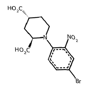 O=C(O)[C@@H]1CCN(c2ccc(Br)cc2[N+](=O)[O-])[C@@H](C(=O)O)C1